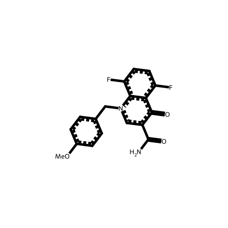 COc1ccc(Cn2cc(C(N)=O)c(=O)c3c(F)ccc(F)c32)cc1